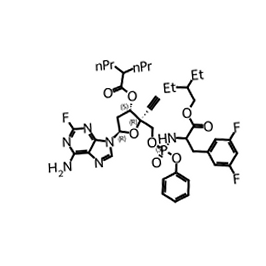 C#C[C@]1(CO[P@@](=O)(NC(Cc2cc(F)cc(F)c2)C(=O)OCC(CC)CC)Oc2ccccc2)O[C@@H](n2cnc3c(N)nc(F)nc32)C[C@@H]1OC(=O)C(CCC)CCC